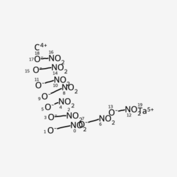 O=[N+]([O-])[O-].O=[N+]([O-])[O-].O=[N+]([O-])[O-].O=[N+]([O-])[O-].O=[N+]([O-])[O-].O=[N+]([O-])[O-].O=[N+]([O-])[O-].O=[N+]([O-])[O-].O=[N+]([O-])[O-].[C+4].[Ta+5]